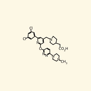 CN1CCN(c2ccc(Oc3cc(CN4CCC(CC(=O)O)CC4)cc(-c4cc(Cl)cc(Cl)c4)n3)nn2)CC1